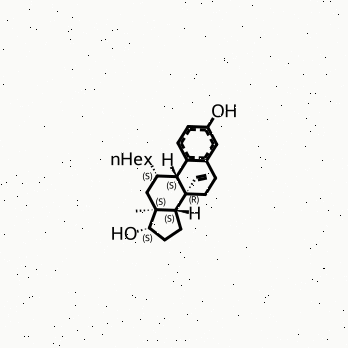 C=C[C@@]12CCc3cc(O)ccc3[C@H]1[C@@H](CCCCCC)C[C@@]1(C)[C@H]2CC[C@@H]1O